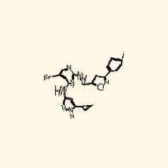 Cc1ccc(C2=NOC(CNc3ncc(Br)c(Nc4cc(C5CC5)[nH]n4)n3)C2)cc1